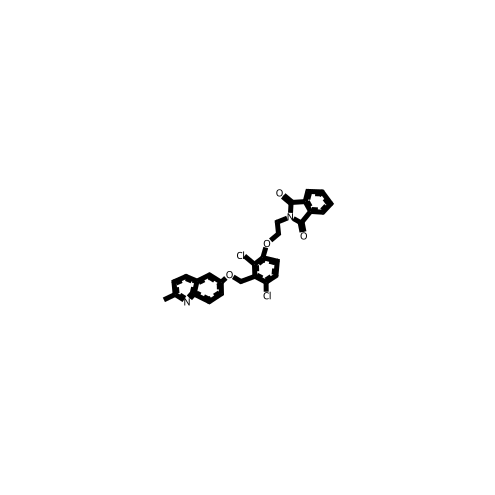 Cc1ccc2cc(OCc3c(Cl)ccc(OCCN4C(=O)c5ccccc5C4=O)c3Cl)ccc2n1